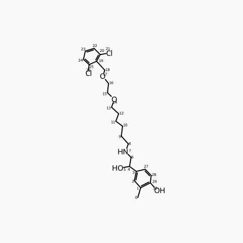 Cc1cc(C(O)CNCCCCCCOCCOCc2c(Cl)cccc2Cl)ccc1O